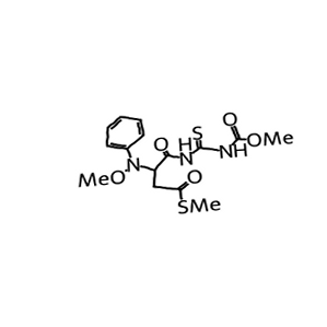 COC(=O)NC(=S)NC(=O)C(CC(=O)SC)N(OC)c1ccccc1